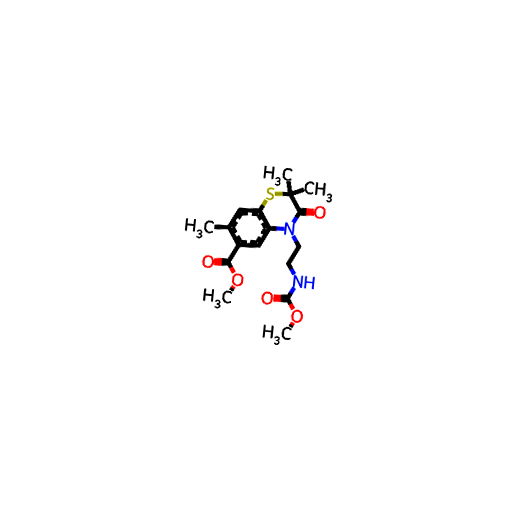 COC(=O)NCCN1C(=O)C(C)(C)Sc2cc(C)c(C(=O)OC)cc21